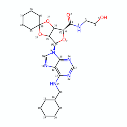 O=C(NCCO)[C@H]1O[C@@H](n2cnc3c(NCC4CCCCC4)ncnc32)C2OC3(CCCCC3)OC21